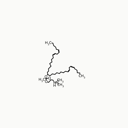 CCCCC/C=C\C/C=C\CCCCCCCCC(CCCCCCCC/C=C\C/C=C\CCCCC)OC1(C)OCC(CNN(C)C)O1